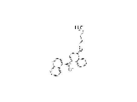 CCCCCOc1ccc([S+]([O-])c2cccc3ccccc23)c2ccccc12